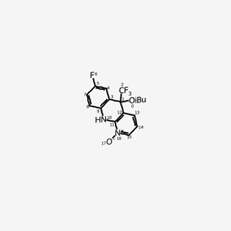 CC(C)COC1(C(F)(F)F)c2cc(F)ccc2Nc2c1ccc[n+]2[O-]